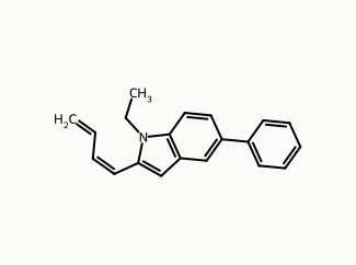 C=C/C=C\c1cc2cc(-c3ccccc3)ccc2n1CC